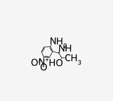 CC(O)C(=N)c1cc([N+](=O)[O-])ccc1N